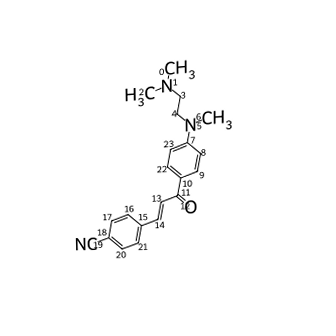 CN(C)CCN(C)c1ccc(C(=O)/C=C/c2ccc(C#N)cc2)cc1